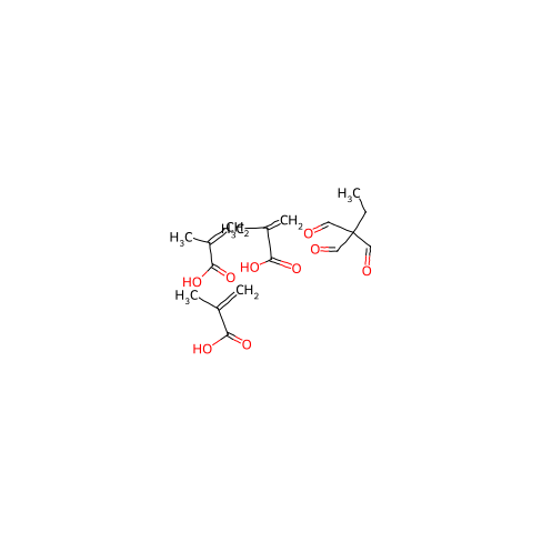 C=C(C)C(=O)O.C=C(C)C(=O)O.C=C(C)C(=O)O.CCC(C=O)(C=O)C=O